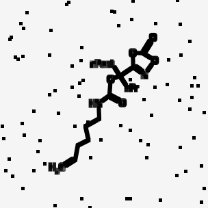 C=CCCCCNC(=O)OC(CCC)(CCCCC)c1noc(=O)o1